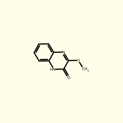 COc1nc2ccccc2[nH]c1=O